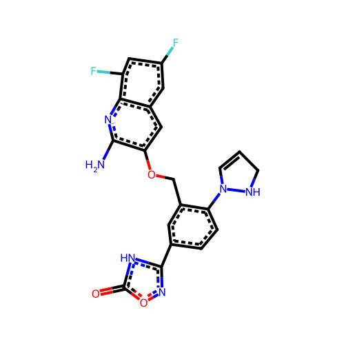 Nc1nc2c(F)cc(F)cc2cc1OCc1cc(-c2noc(=O)[nH]2)ccc1N1C=CCN1